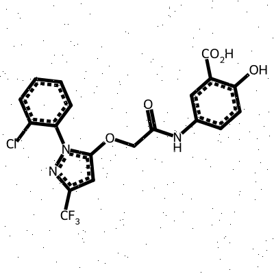 O=C(COc1cc(C(F)(F)F)nn1-c1ccccc1Cl)Nc1ccc(O)c(C(=O)O)c1